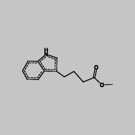 COC(=O)CCCc1c[nH]c2ccccc12